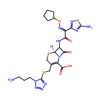 NCCCn1nnnc1SCC1=C(C(=O)O)N2C(=O)C(NC(=O)C(=NOC3CCCC3)c3nsc(N)n3)[C@@H]2SC1